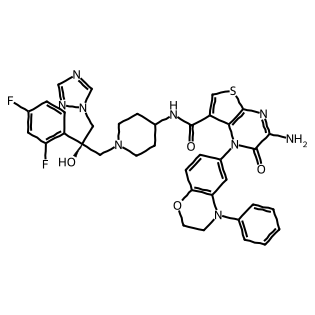 Nc1nc2scc(C(=O)NC3CCN(C[C@@](O)(Cn4cncn4)c4ccc(F)cc4F)CC3)c2n(-c2ccc3c(c2)N(c2ccccc2)CCO3)c1=O